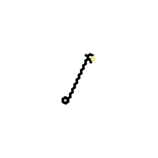 CC1=C(CCCCCCCCCCCCCCCCC2=CCCC=C2)C(C)CCS1